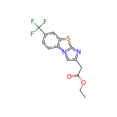 CCOC(=O)Cc1cn2c(n1)sc1cc(C(F)(F)F)ccc12